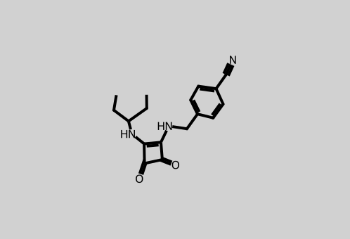 CCC(CC)Nc1c(NCc2ccc(C#N)cc2)c(=O)c1=O